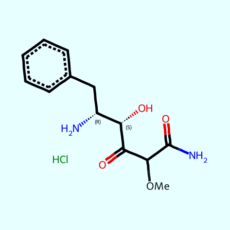 COC(C(N)=O)C(=O)[C@@H](O)[C@H](N)Cc1ccccc1.Cl